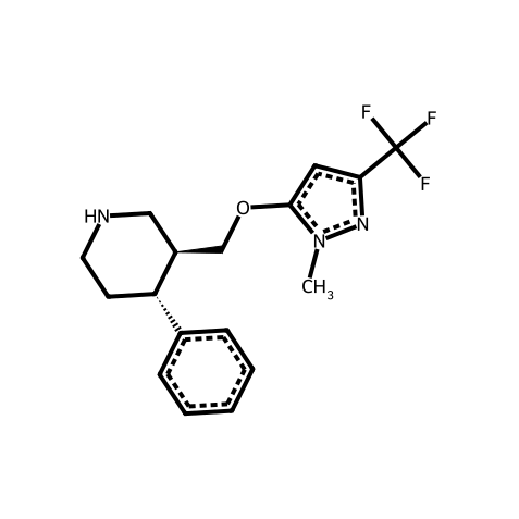 Cn1nc(C(F)(F)F)cc1OC[C@@H]1CNCC[C@H]1c1ccccc1